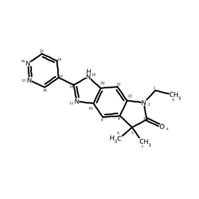 CCN1C(=O)C(C)(C)c2cc3nc(-c4ccnnc4)[nH]c3cc21